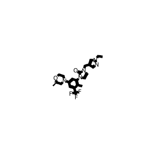 CCn1cc(Cn2ccn(-c3cc(N4CCO[C@H](C)C4)cc(C(F)(F)F)c3C)c2=O)cn1